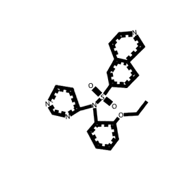 CCOc1ccccc1N(c1ccncn1)S(=O)(=O)c1ccc2cnccc2c1